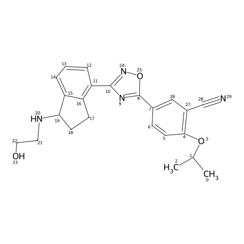 CC(C)Oc1ccc(-c2nc(-c3cccc4c3CCC4NCCO)no2)cc1C#N